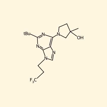 CC1(O)CCN(c2nc(C(C)(C)C)nc3c2ncn3CCC(F)(F)F)C1